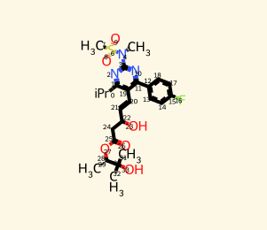 CC(C)c1nc(N(C)S(C)(=O)=O)nc(-c2ccc(F)cc2)c1/C=C/C(O)CC(=O)O[C@@H](C)C(C)(C)O